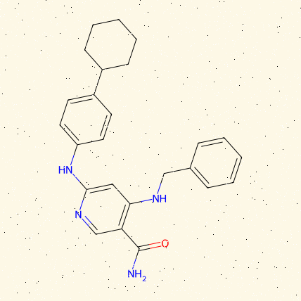 NC(=O)c1cnc(Nc2ccc(C3CCCCC3)cc2)cc1NCc1ccccc1